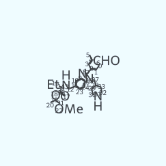 C/C=C(\C=C(\C)C=O)c1nc2cc(CNC(CC)C(=O)OC(C)COC)ccc2n1CC1CCNCC1